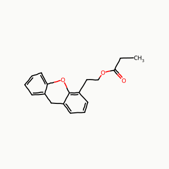 CCC(=O)OCCc1cccc2c1Oc1ccccc1C2